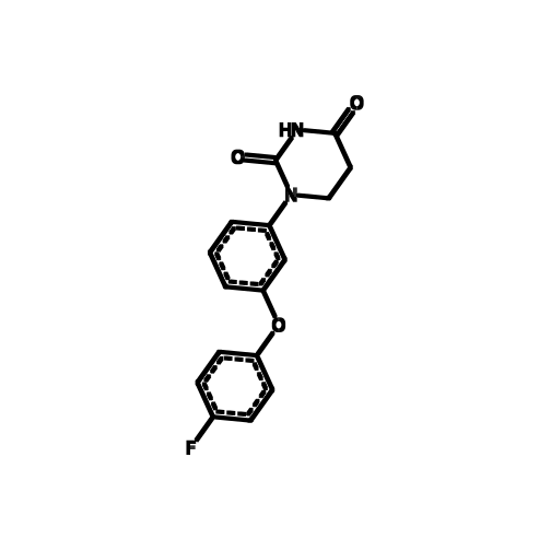 O=C1CCN(c2cccc(Oc3ccc(F)cc3)c2)C(=O)N1